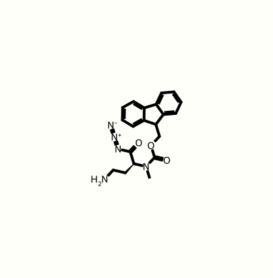 CN(C(=O)OCC1c2ccccc2-c2ccccc21)[C@@H](CCN)C(=O)N=[N+]=[N-]